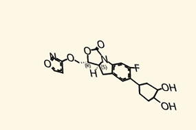 O=C1O[C@@H](COc2ccon2)[C@@H]2Cc3cc(C4CCC(O)C(O)C4)c(F)cc3N12